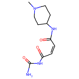 CN1CCC(NC(=O)/C=C\C(=O)NC(N)=O)CC1